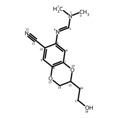 CN(C)/C=N/c1cc2c(cc1C#N)OCC(CCO)O2